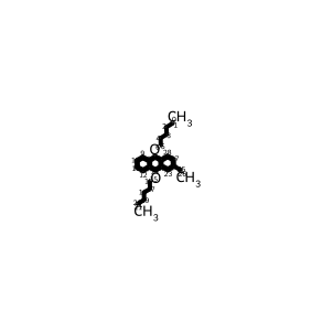 CCCCCCOc1c2ccccc2c(OCCCCCC)c2cc(CC)ccc12